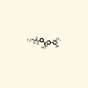 CN(C)c1cc(-c2ccn3c(-c4cccc(NC(=O)NCC(F)(F)F)c4)cnc3c2)nc(C(F)(F)F)n1.Cl